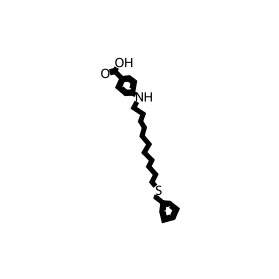 O=C(O)c1ccc(NCCCCCCCCCCCSCc2ccccc2)cc1